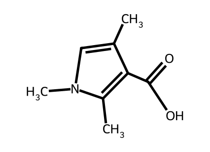 Cc1cn(C)c(C)c1C(=O)O